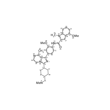 CNCC1CCC(c2nc(-c3ccc(NC(=O)c4cc5c(OC)cccc5n4C)c(OC)c3)c3c(C)nccn23)CC1